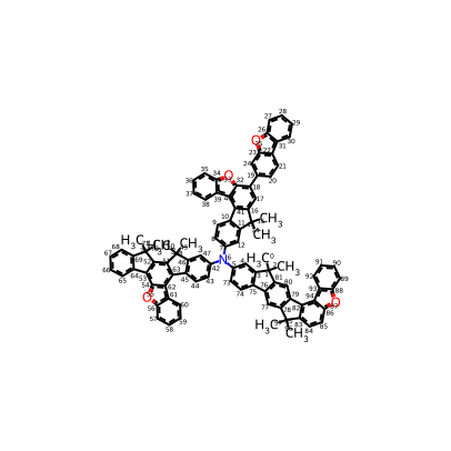 CC1(C)c2cc(N(c3ccc4c(c3)C(C)(C)c3cc(-c5ccc6c(c5)oc5ccccc56)c5oc6ccccc6c5c3-4)c3ccc4c(c3)C(C)(C)c3c5c(c6oc7ccccc7c6c3-4)-c3ccccc3C5(C)C)ccc2-c2cc3c(cc21)-c1c(ccc2oc4ccccc4c12)C3(C)C